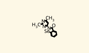 Cc1cc(-n2[se]c3ccccc3c2=O)nc(C)n1